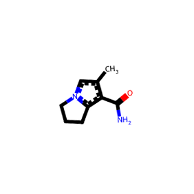 Cc1cn2c(c1C(N)=O)CCC2